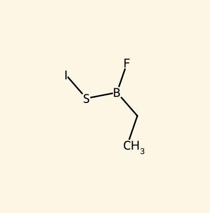 CCB(F)SI